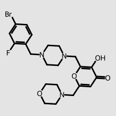 O=c1cc(CN2CCOCC2)oc(CN2CCN(Cc3ccc(Br)cc3F)CC2)c1O